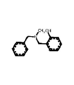 CN(Cc1ccccc1)Cc1[c]cccc1O